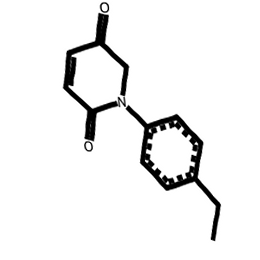 CCc1ccc(N2CC(=O)C=CC2=O)cc1